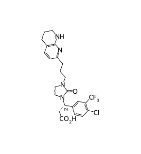 O=C(O)C[C@@H](c1ccc(Cl)c(C(F)(F)F)c1)N1CCN(CCCc2ccc3c(n2)NCCC3)C1=O